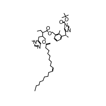 C=C(CCCCCCC/C=C\CCCCCCCC)OCC(Cc1cncn1C)C(CC)C(=O)OCc1cccc([C@H](C)c2cn(C(=O)OC(C)(C)C)cn2)c1C